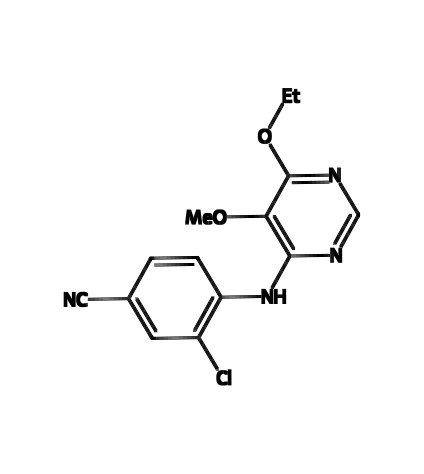 CCOc1ncnc(Nc2ccc(C#N)cc2Cl)c1OC